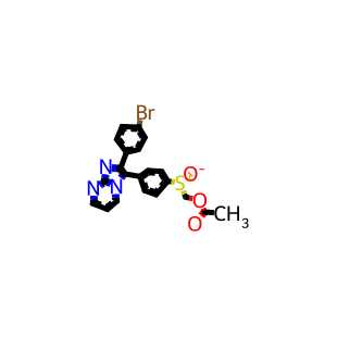 CC(=O)OC[S+]([O-])c1ccc(-c2c(-c3ccc(Br)cc3)nc3ncccn23)cc1